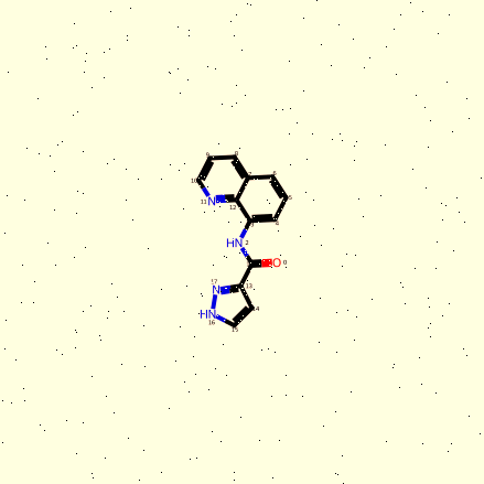 O=C(Nc1cccc2cccnc12)c1cc[nH]n1